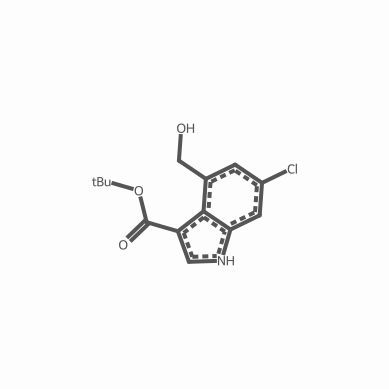 CC(C)(C)OC(=O)c1c[nH]c2cc(Cl)cc(CO)c12